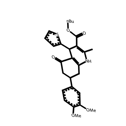 CCCCOC(=O)C1=C(C)NC2=C(C(=O)CC(c3ccc(OC)c(OC)c3)C2)C1c1cccs1